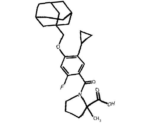 CC1(C(=O)O)CCCN1C(=O)c1cc(C2CC2)c(OCC23CC4CC(CC(C4)C2)C3)cc1F